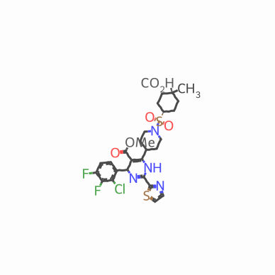 COC(=O)C1=C(C2CCN(S(=O)(=O)[C@H]3CC[C@](C)(C(=O)O)CC3)CC2)NC(c2nccs2)=NC1c1ccc(F)c(F)c1Cl